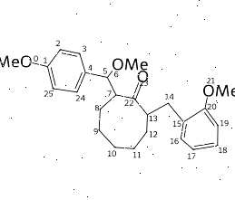 COc1ccc(C(OC)C2CCCCCC(Cc3ccccc3OC)C2=O)cc1